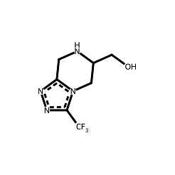 OCC1Cn2c(nnc2C(F)(F)F)CN1